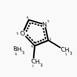 B.Cc1ncoc1C